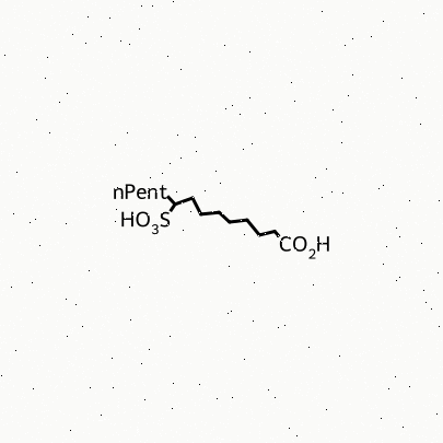 CCCCCC(CCCCCCCC(=O)O)S(=O)(=O)O